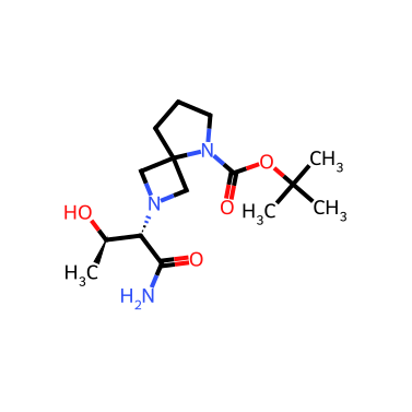 C[C@@H](O)[C@@H](C(N)=O)N1CC2(CCCN2C(=O)OC(C)(C)C)C1